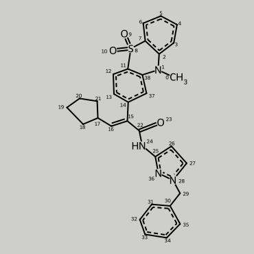 CN1c2ccccc2S(=O)(=O)c2ccc(/C(=C\C3CCCC3)C(=O)Nc3ccn(Cc4ccccc4)n3)cc21